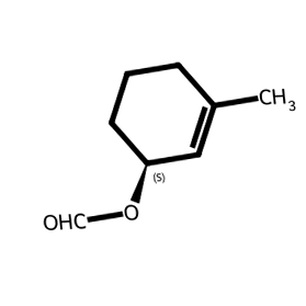 CC1=C[C@@H](OC=O)CCC1